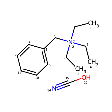 CC[N+](CC)(CC)Cc1ccccc1.N#CO